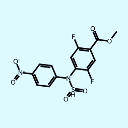 COC(=O)c1cc(F)c(N(c2ccc([N+](=O)[O-])cc2)[SH](=O)=O)cc1F